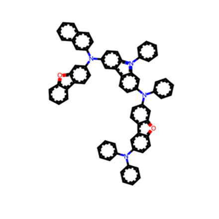 c1ccc(N(c2ccccc2)c2ccc3oc4cc(N(c5ccccc5)c5ccc6c7cc(N(c8ccc9ccccc9c8)c8ccc9c(c8)oc8ccccc89)ccc7n(-c7ccccc7)c6c5)ccc4c3c2)cc1